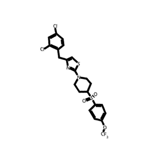 O=S(=O)(c1ccc(OC(F)(F)F)cc1)C1CCN(c2nc(Cc3ccc(Cl)cc3Cl)cs2)CC1